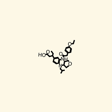 CCOc1ccc(CC(=O)Nc2cc(C(CC)CC(=O)O)ccc2N(CC(C)C)C2CCOCC2)cc1